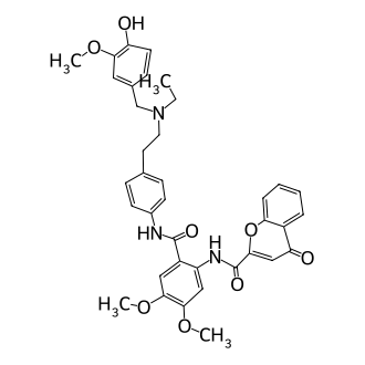 CCN(CCc1ccc(NC(=O)c2cc(OC)c(OC)cc2NC(=O)c2cc(=O)c3ccccc3o2)cc1)Cc1ccc(O)c(OC)c1